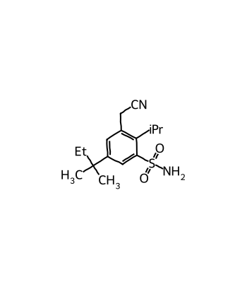 CCC(C)(C)c1cc(CC#N)c(C(C)C)c(S(N)(=O)=O)c1